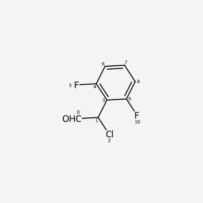 O=CC(Cl)c1c(F)cccc1F